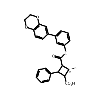 C[C@@H]1C(C(=O)O)C(c2ccccc2)C1C(=O)Oc1cccc(-c2ccc3c(c2)OCCO3)c1